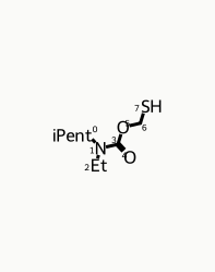 CCCC(C)N(CC)C(=O)OCS